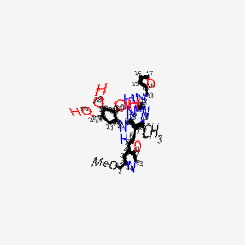 COCc1cc2cc(-c3c(C)nc(NCc4ccco4)nc3N[C@@H]3C[C@H](CO)[C@@H](O)[C@H]3O)oc2cn1